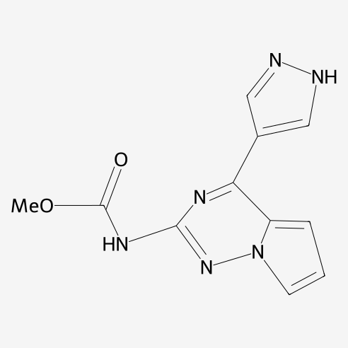 COC(=O)Nc1nc(-c2cn[nH]c2)c2cccn2n1